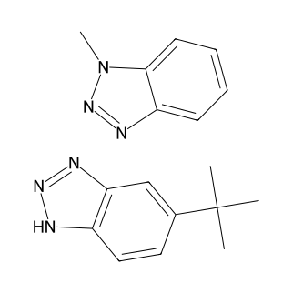 CC(C)(C)c1ccc2[nH]nnc2c1.Cn1nnc2ccccc21